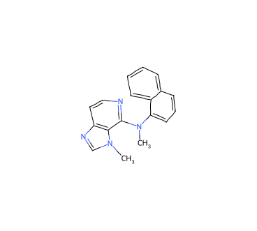 CN(c1cccc2ccccc12)c1nccc2ncn(C)c12